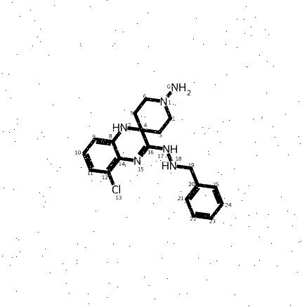 NN1CCC2(CC1)Nc1cccc(Cl)c1N=C2NNCc1ccccc1